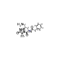 NCCC/C(=N\C(=O)Cc1ccccc1)C(=O)NC1(C(N)=O)CC1